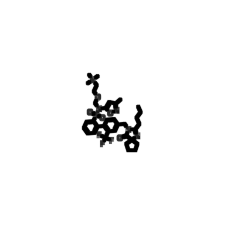 CCCCC1=NC2(CCCC2)C(=O)N1Cc1ccc(-c2ccccc2S(=O)(=O)N(COCC[Si](C)(C)C)c2cc(C)no2)c(C(F)(F)F)c1